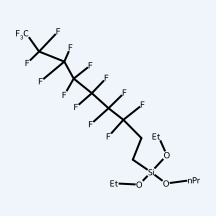 CCCO[Si](CCC(F)(F)C(F)(F)C(F)(F)C(F)(F)C(F)(F)C(F)(F)C(F)(F)F)(OCC)OCC